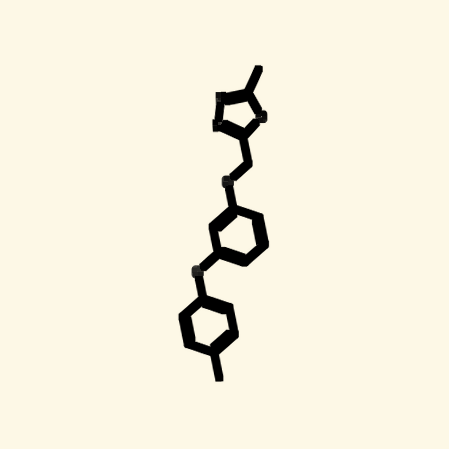 Cc1ccc(Oc2cccc(OCc3nnc(C)o3)c2)cc1